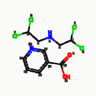 ClC(Cl)CNCC(Cl)Cl.O=C(O)c1cccnc1